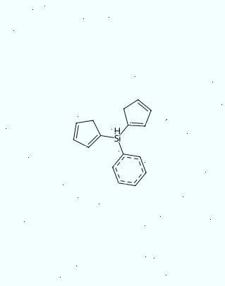 C1=CCC([SiH](C2=CC=CC2)c2ccccc2)=C1